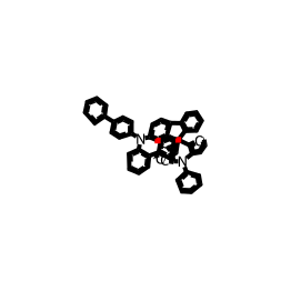 c1ccc(-c2ccc(N(c3ccc4c(c3)C3(c5ccccc5-4)c4ccccc4N(c4ccccc4)c4ccccc43)c3ccccc3-c3ccccc3)cc2)cc1